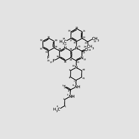 CCCNC(=S)NC1CCN(c2nc(=O)n(-c3c(C)cccc3C(C)C)c3nc(-c4ccccc4F)c(F)cc23)CC1